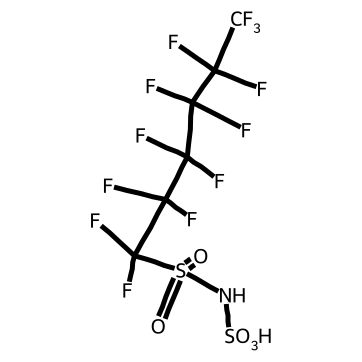 O=S(=O)(O)NS(=O)(=O)C(F)(F)C(F)(F)C(F)(F)C(F)(F)C(F)(F)C(F)(F)F